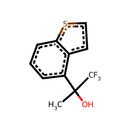 CC(O)(c1cccc2sccc12)C(F)(F)F